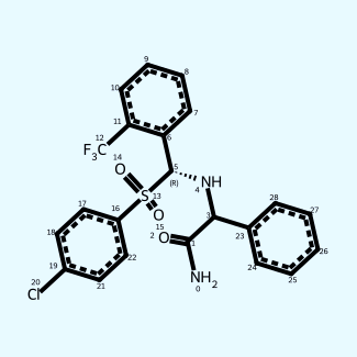 NC(=O)C(N[C@@H](c1ccccc1C(F)(F)F)S(=O)(=O)c1ccc(Cl)cc1)c1ccccc1